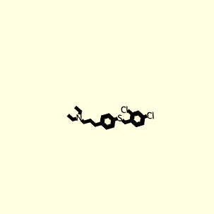 CCN(CC)CCCc1ccc(SCc2ccc(Cl)cc2Cl)cc1